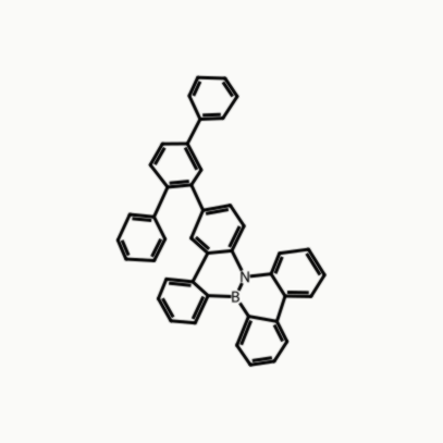 c1ccc(-c2ccc(-c3ccccc3)c(-c3ccc4c(c3)-c3ccccc3B3c5ccccc5-c5ccccc5N34)c2)cc1